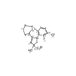 CCOC(=O)C1(O)CN(c2c(I)ccc(Cl)c2F)C(C2CCCCC2)=N1